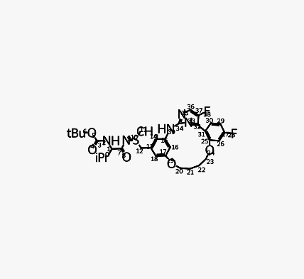 CC(C)C(NC(=O)OC(C)(C)C)C(=O)/N=S(/C)Cc1cc2cc(c1)OCCCCOc1cc(F)ccc1-c1nc(ncc1F)N2